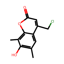 Cc1cc2c(CCl)cc(=O)oc2c(C)c1O